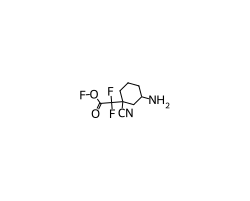 N#CC1(C(F)(F)C(=O)OF)CCCC(N)C1